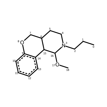 CCCN1CCC2COc3ccccc3C2C1OC